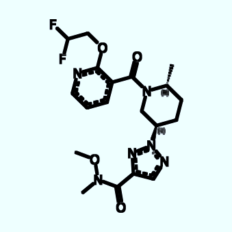 CON(C)C(=O)c1cnn([C@@H]2CC[C@@H](C)N(C(=O)c3cccnc3OCC(F)F)C2)n1